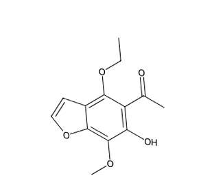 CCOc1c(C(C)=O)c(O)c(OC)c2occc12